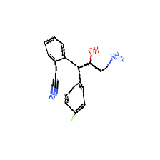 N#Cc1ccccc1C(c1ccc(F)cc1)C(O)CN